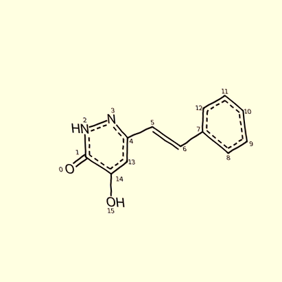 O=c1[nH]nc(C=Cc2ccccc2)cc1O